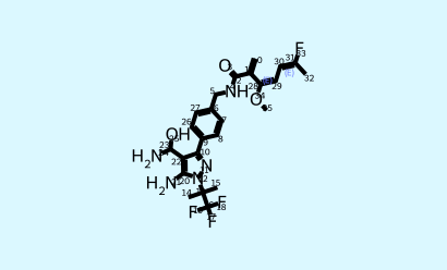 C=C(C(=O)NCc1ccc(-c2nn(C(C)(C)C(F)(F)F)c(N)c2C(N)O)cc1)/C(=C\C=C(/C)F)OC